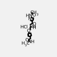 CNC(=O)Cc1ccc(OCCNCC(O)c2ccc(NC(C)=O)nc2)cc1.Cl